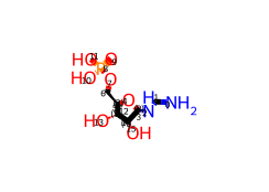 NCN[C@@H]1O[C@H](COP(=O)(O)O)[C@@H](O)[C@H]1O